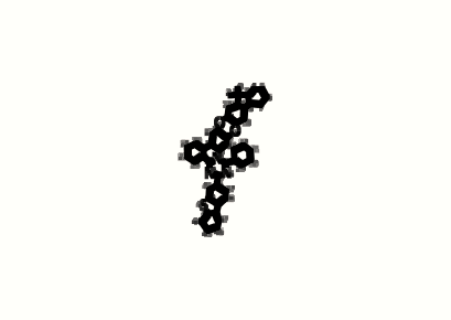 CC1(C)c2ccccc2-c2cc3c(cc21)Oc1cc(-c2ccccc2-c2nc(-c4ccccc4)nc(-c4ccc5c(c4)sc4ccccc45)n2)ccc1O3